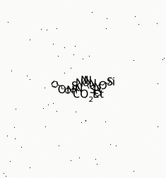 CCOC(=O)c1nc(N(C)c2cc(C)c(/N=c3\sc4ccccc4n3COCC[Si](C)(C)C)nn2)sc1N1CC[C@H](OCc2ccccc2)C1